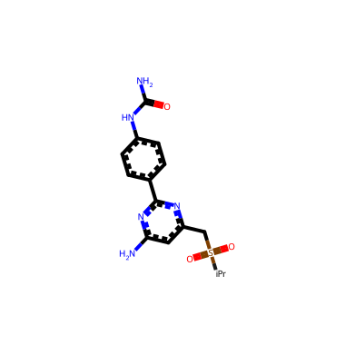 CC(C)S(=O)(=O)Cc1cc(N)nc(-c2ccc(NC(N)=O)cc2)n1